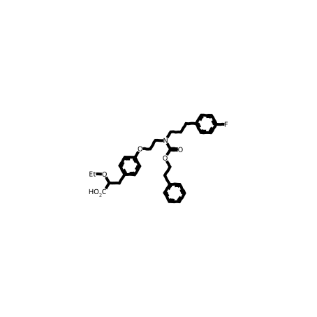 CCOC(Cc1ccc(OCCN(CCCc2ccc(F)cc2)C(=O)OCCc2ccccc2)cc1)C(=O)O